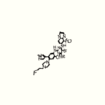 COc1cc(N2CCN(CCF)CC2)c(-c2cnn(C)c2)cc1Nc1ncc(Br)c(Nc2ccc3nccnc3c2P(C)(C)=O)n1